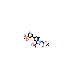 CC(=O)c1nn(CC(=O)OC(C)(C)C)c2c(C)cc(-c3cncc(S(C)(=O)=O)c3)cc12